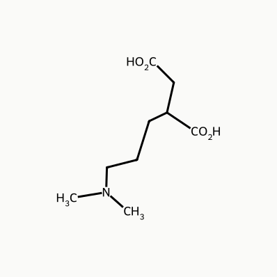 CN(C)CCCC(CC(=O)O)C(=O)O